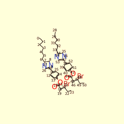 CCCCCCCc1cnc(-c2ccc(OC(=O)C(C)C(Br)CC)cc2)cn1.CCCCCCc1cnc(-c2ccc(OC(=O)C(C)C(Br)CC)cc2)cn1